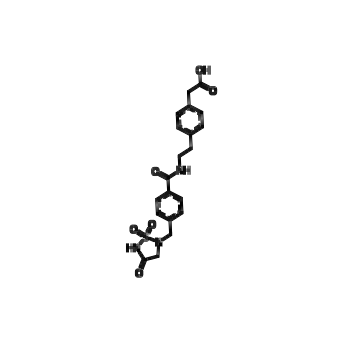 O=C(O)Cc1ccc(CCNC(=O)c2ccc(CN3CC(=O)NS3(=O)=O)cc2)cc1